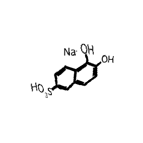 O=S(=O)(O)c1ccc2c(O)c(O)ccc2c1.[Na]